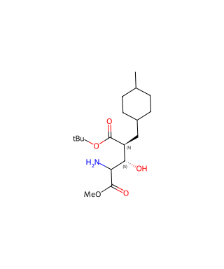 COC(=O)C(N)[C@@H](O)[C@H](CC1CCC(C)CC1)C(=O)OC(C)(C)C